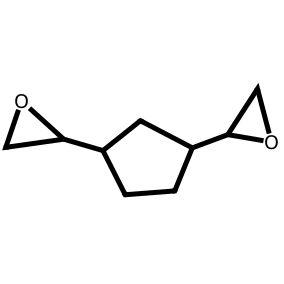 C1CC(C2CO2)CC1C1CO1